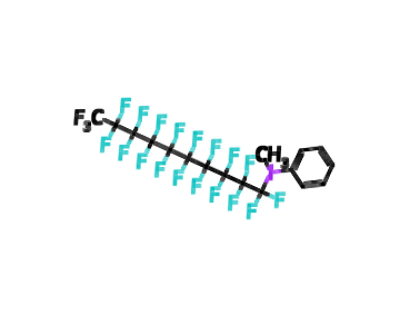 CI(c1ccccc1)C(F)(F)C(F)(F)C(F)(F)C(F)(F)C(F)(F)C(F)(F)C(F)(F)C(F)(F)C(F)(F)C(F)(F)F